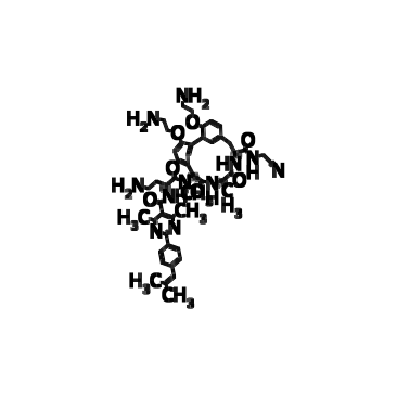 CC(C)=Cc1ccc(-c2nc(C)c(C(=O)N[C@@H](CCN)C(=O)N(C)[C@@H]3C(=O)N[C@@H](C)C(=O)N[C@H](C(=O)NCC#N)Cc4ccc(OCCN)c(c4)-c4cc3ccc4OCCN)c(C)n2)cc1